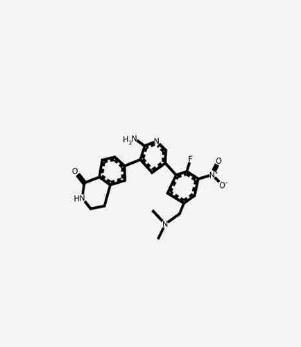 CN(C)Cc1cc(-c2cnc(N)c(-c3ccc4c(c3)CCNC4=O)c2)c(F)c([N+](=O)[O-])c1